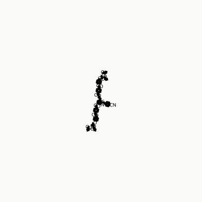 C=CC(=O)OCC(COc1ccc(OC(=O)C2CCC(C(=O)Oc3ccc(CCOC(=O)C4CCC(C(=O)Oc5ccc(OC(COC(=O)C=C)OC(=O)C=C)cc5)CC4)c4sc(-c5ccc(C#N)cc5)nc34)CC2)cc1)OC(=O)C=C